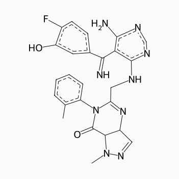 Cc1ccccc1N1C(=O)C2C(C=NN2C)N=C1CNc1ncnc(N)c1C(=N)c1ccc(F)c(O)c1